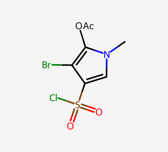 CC(=O)Oc1c(Br)c(S(=O)(=O)Cl)cn1C